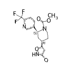 COC(=O)N1CC[C@@H](c2cc(=O)[nH]o2)C[C@H]1c1ccc(C(F)(F)F)nc1